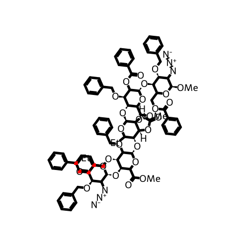 CCC1O[C@H](O[C@@H]2C(C(=O)OC)O[C@@H](O[C@@H]3C(CC)O[C@@H](O[C@H]4C(C(=O)OC)O[C@@H](O[C@@H]5C(COC(=O)c6ccccc6)O[C@H](OC)C(N=[N+]=[N-])[C@H]5OCc5ccccc5)C(OC(=O)c5ccccc5)[C@@H]4OCc4ccccc4)C4NC(=O)O[C@H]43)C(OCc3ccccc3)[C@H]2OCc2ccccc2)C(N=[N+]=[N-])[C@@H](OCc2ccccc2)[C@@H]1OCc1ccccc1